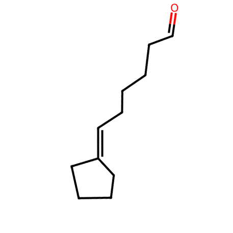 O=CCCCCC=C1CCCC1